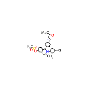 COC(=O)/C=C/c1ccc([C@H]2c3ccc(OS(=O)(=O)C(F)(F)F)cc3C[C@H](C)N2c2ccc(C3CC3)cc2)cc1